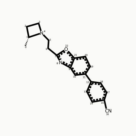 C[C@@H]1CCN1CCc1nc2cc(-c3ccc(C#N)cc3)ccc2o1